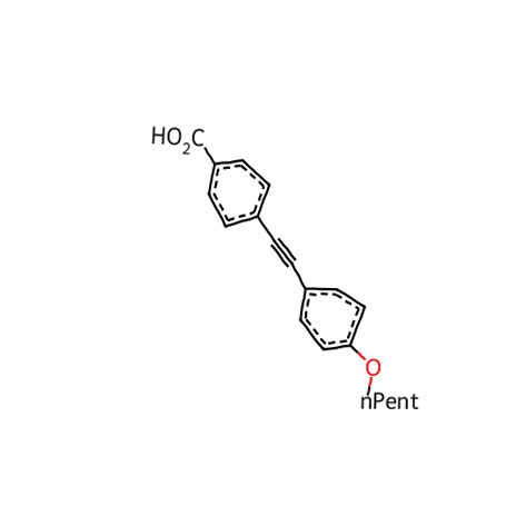 CCCCCOc1ccc(C#Cc2ccc(C(=O)O)cc2)cc1